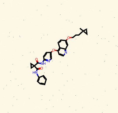 CC1(CCCOc2ccc3c(Oc4ccc(NC(=O)C5(C(=O)Nc6ccccc6)CC5)nc4)ccnc3c2)CC1